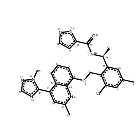 Cc1cc(Cl)c(COc2cccc3c(-c4ncnn4C)cc(C)nc23)c([C@H](C)NC(=O)c2ccon2)c1